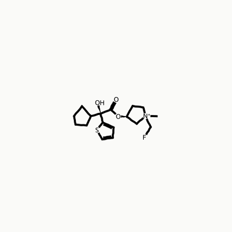 C[N+]1(CF)CC[C@H](OC(=O)[C@](O)(c2cccs2)C2CCCC2)C1